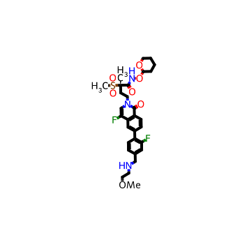 COCCNCc1ccc(-c2ccc3c(=O)n(CC[C@](C)(C(=O)NOC4CCCCO4)S(C)(=O)=O)cc(F)c3c2)c(F)c1